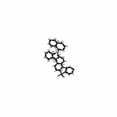 CC1(C)c2ccccc2-c2c1ccc1c2ccc2c1c1ccccc1n2-c1cccc2ccccc12